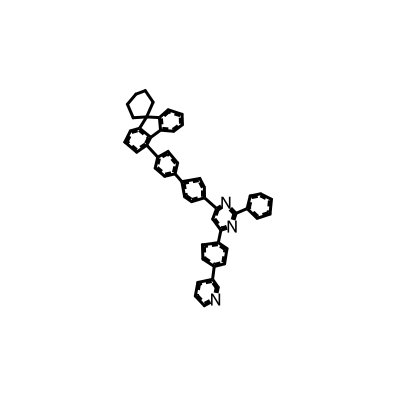 c1ccc(-c2nc(-c3ccc(-c4ccc(-c5cccc6c5-c5ccccc5C65CCCCC5)cc4)cc3)cc(-c3ccc(-c4cccnc4)cc3)n2)cc1